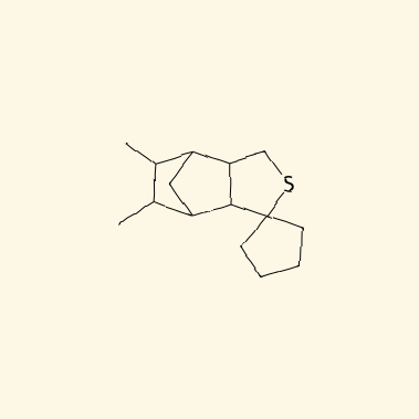 CC1C(C)C2CC1C1CSC3(CCCC3)C21